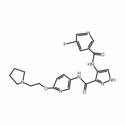 O=C(Nc1c[nH]nc1C(=O)Nc1ccc(OCCN2CCCC2)nc1)c1cncc(F)c1